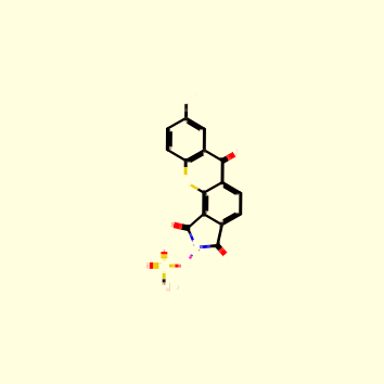 CCCCS(=O)(=O)ON1C(=O)c2ccc3c(=O)c4cc(C(C)C)ccc4sc3c2C1=O